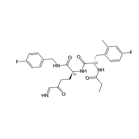 CCC(=O)N[C@@H](Cc1ccc(F)cc1C)C(=O)N[C@@H](CCC(=O)C=N)C(=O)NCc1ccc(F)cc1